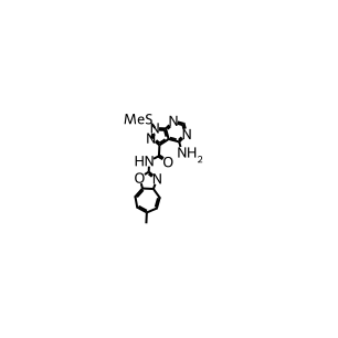 CSn1nc(C(=O)NC2=NC3C=CC(C)=CC=C3O2)c2c(N)ncnc21